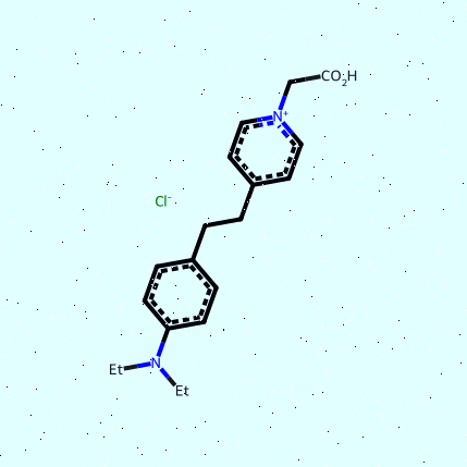 CCN(CC)c1ccc(CCc2cc[n+](CC(=O)O)cc2)cc1.[Cl-]